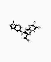 CC[C@@H](Nc1nnc(C(N)=O)c(Nc2cnc3c(ccn3C)c2)n1)C(N)=O